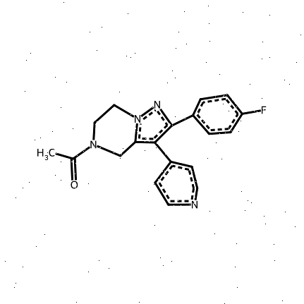 CC(=O)N1CCn2nc(-c3ccc(F)cc3)c(-c3ccncc3)c2C1